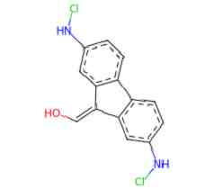 OC=C1c2cc(NCl)ccc2-c2ccc(NCl)cc21